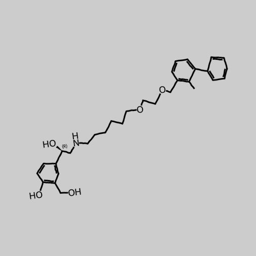 Cc1c(COCCOCCCCCCNC[C@H](O)c2ccc(O)c(CO)c2)cccc1-c1ccccc1